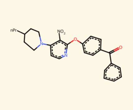 CCCC1CCN(c2ccnc(Oc3ccc(C(=O)c4ccccc4)cc3)c2[N+](=O)[O-])CC1